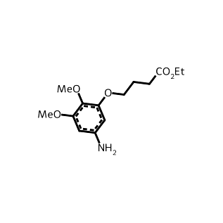 CCOC(=O)CCCOc1cc(N)cc(OC)c1OC